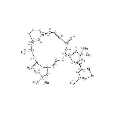 C=C1CC(O[Si](C)(C)C(C)(C)C)/C=C/C[C@@H]([C@H](/C=C/[C@@H]2CC(C)=CCO2)O[Si](C)(C)C(C)(C)C)OC(=O)C=CC[C@@H]2C=CC[C@@H](C[C@@H](C)C1)O2